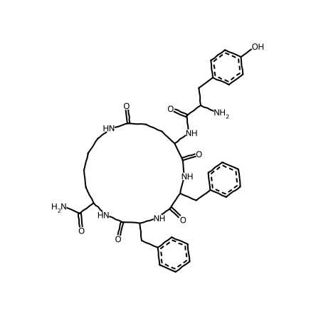 NC(=O)C1CCCCNC(=O)CCC(NC(=O)C(N)Cc2ccc(O)cc2)C(=O)NC(Cc2ccccc2)C(=O)NC(Cc2ccccc2)C(=O)N1